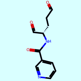 O=CCC[C@@H](C=O)NC(=O)c1cccnc1